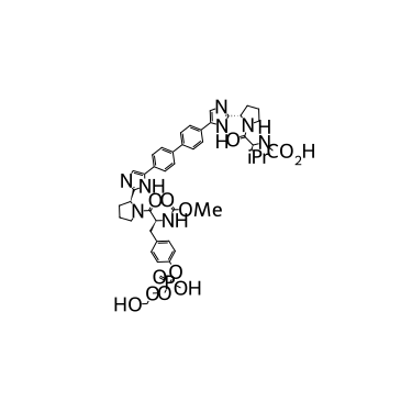 COC(=O)N[C@@H](Cc1ccc(OP(=O)(O)OOCO)cc1)C(=O)N1CCC[C@H]1c1ncc(-c2ccc(-c3ccc(-c4cnc([C@@H]5CCCN5C(=O)[C@@H](NC(=O)O)C(C)C)[nH]4)cc3)cc2)[nH]1